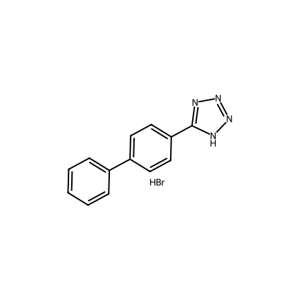 Br.c1ccc(-c2ccc(-c3nnn[nH]3)cc2)cc1